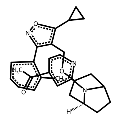 CC(=O)c1ccnc(N2C3CC[C@H]2CC(OCc2c(-c4ccccc4C)noc2C2CC2)C3)c1